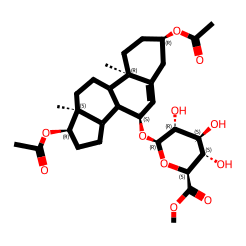 COC(=O)[C@H]1O[C@@H](O[C@@H]2C=C3C[C@H](OC(C)=O)CC[C@]3(C)C3CC[C@@]4(C)C(CC[C@H]4OC(C)=O)C32)[C@H](O)[C@@H](O)[C@@H]1O